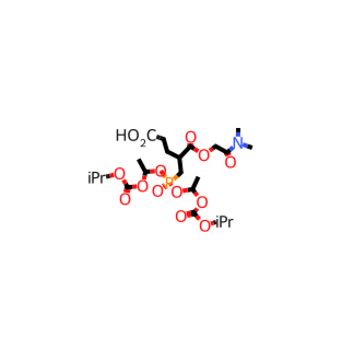 CC(C)OC(=O)OC(C)OP(=O)(CC(CCC(=O)O)C(=O)OCC(=O)N(C)C)OC(C)OC(=O)OC(C)C